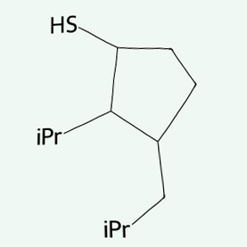 CC(C)CC1CCC(S)C1C(C)C